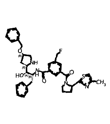 Cc1csc(C2CCCN2C(=O)c2cc(CF)cc(C(=O)N[C@H](Cc3ccccc3)[C@H](O)[C@H]3C[C@@H](OCc4ccccc4)CN3)c2)n1